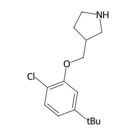 CC(C)(C)c1ccc(Cl)c(OCC2CCNC2)c1